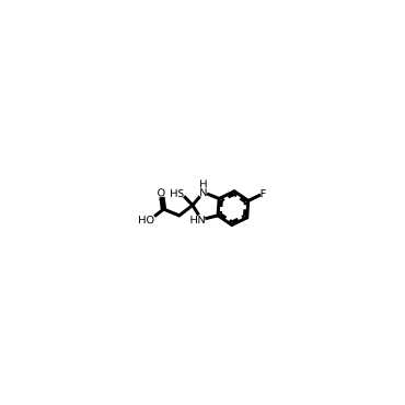 O=C(O)CC1(S)Nc2ccc(F)cc2N1